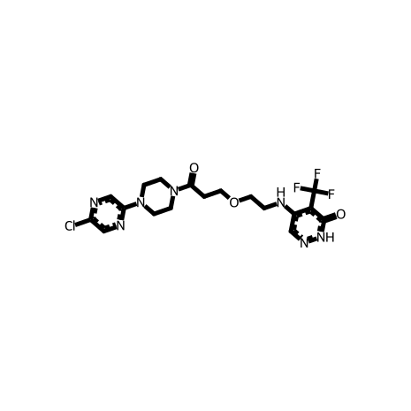 O=C(CCOCCNc1cn[nH]c(=O)c1C(F)(F)F)N1CCN(c2cnc(Cl)cn2)CC1